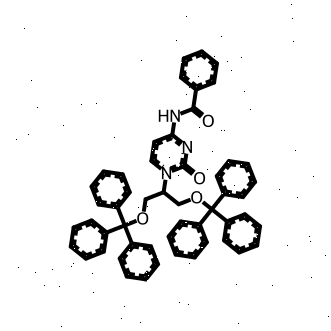 O=C(Nc1ccn(C(COC(c2ccccc2)(c2ccccc2)c2ccccc2)COC(c2ccccc2)(c2ccccc2)c2ccccc2)c(=O)n1)c1ccccc1